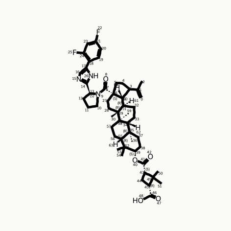 C=C(C)C1CC[C@]2(C(=O)N3CCC[C@H]3c3ncc(-c4ccc(F)cc4F)[nH]3)CC[C@]3(C)[C@H](CC[C@@H]4[C@@]5(C)CC[C@H](OC(=O)[C@H]6C[C@@H](C(=O)O)C6(C)C)C(C)(C)[C@@H]5CC[C@]43C)[C@@H]12